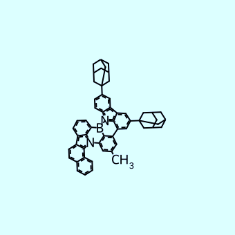 Cc1cc2c3c(c1)-n1c4c(cccc4c4ccc5ccccc5c41)B3n1c3ccc(C45CC6CC(CC(C6)C4)C5)cc3c3cc(C45CC6CC(CC(C6)C4)C5)cc-2c31